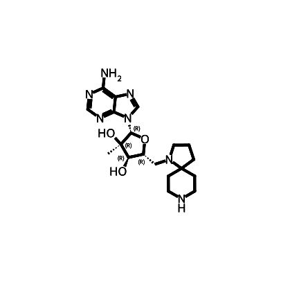 C[C@@]1(O)[C@H](O)[C@@H](CN2CCCC23CCNCC3)O[C@H]1n1cnc2c(N)ncnc21